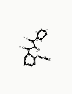 [N-]=[N+]=Nc1ccccc1C(=O)C(=N)C(=O)c1ccccc1